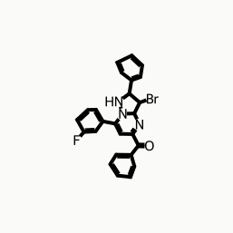 O=C(C1=NC2C(Br)C(c3ccccc3)NN2C(c2cccc(F)c2)=C1)c1ccccc1